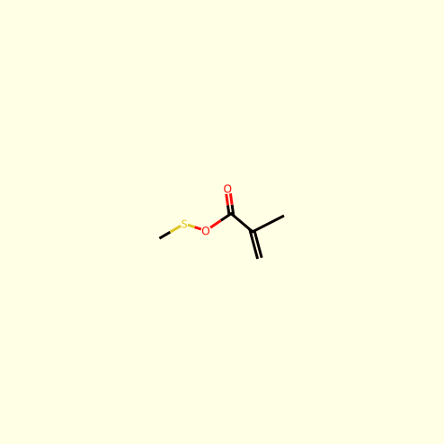 C=C(C)C(=O)OSC